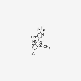 CC[S+]([O-])c1cc(C2CC2)cnc1N/C=C1/C=NC(C(F)(F)F)=CC1=N